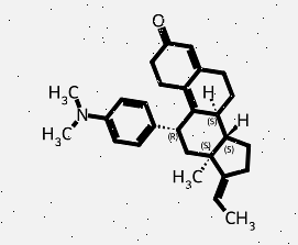 CC=C1CC[C@H]2[C@@H]3CCC4=CC(=O)CCC4=C3[C@@H](c3ccc(N(C)C)cc3)C[C@]12C